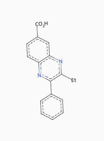 CCc1nc2cc(C(=O)O)ccc2nc1-c1ccccc1